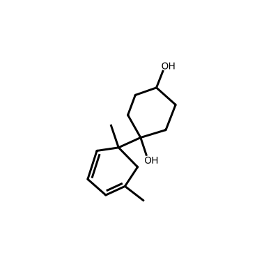 CC1=CC=CC(C)(C2(O)CCC(O)CC2)C1